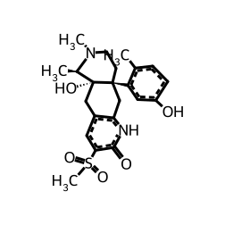 Cc1ccc(O)cc1[C@]12CCN(C)[C@H](C)[C@]1(O)Cc1cc(S(C)(=O)=O)c(=O)[nH]c1C2